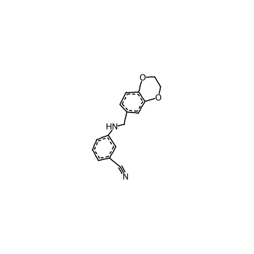 N#Cc1cccc(NCc2ccc3c(c2)OCCO3)c1